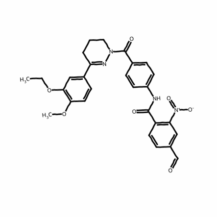 CCOc1cc(C2=NN(C(=O)c3ccc(NC(=O)c4ccc(C=O)cc4[N+](=O)[O-])cc3)CCC2)ccc1OC